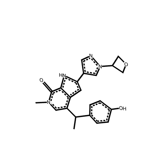 CC(c1ccc(O)cc1)c1cn(C)c(=O)c2[nH]c(-c3cnn(C4COC4)c3)cc12